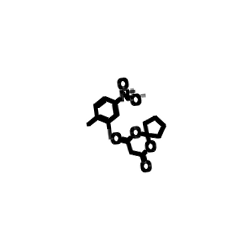 Cc1ccc([N+](=O)[O-])cc1I.O=C1CC(=O)OC2(CCCC2)O1